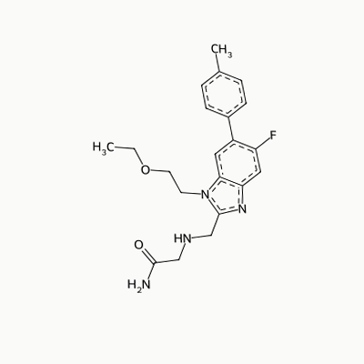 CCOCCn1c(CNCC(N)=O)nc2cc(F)c(-c3ccc(C)cc3)cc21